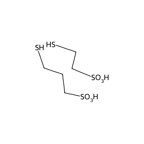 O=S(=O)(O)CCCS.O=S(=O)(O)CCS